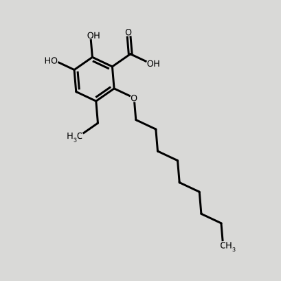 CCCCCCCCCOc1c(CC)cc(O)c(O)c1C(=O)O